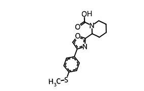 CSc1ccc(-c2coc(C3CCCCN3C(=O)O)n2)cc1